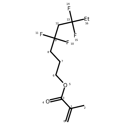 C=C(C)C(=O)OCCCC(F)(F)CC(F)(F)CC